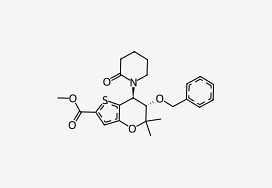 COC(=O)c1cc2c(s1)[C@@H](N1CCCCC1=O)[C@H](OCc1ccccc1)C(C)(C)O2